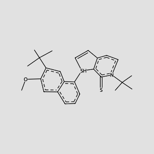 COc1cc2cccc([SH]3C=Cc4ccn(C(C)(C)C)c(=S)c43)c2cc1C(C)(C)C